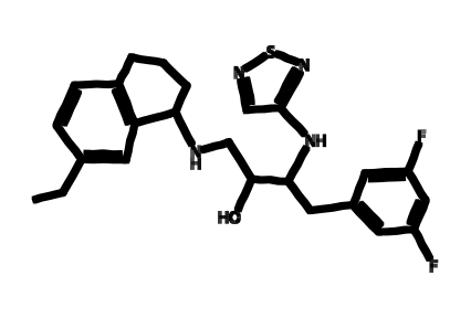 CCc1ccc2c(c1)C(NCC(O)C(Cc1cc(F)cc(F)c1)Nc1cnsn1)CCC2